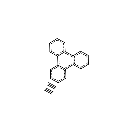 C#C.C#C.c1ccc2c(c1)c1ccccc1c1ccccc21